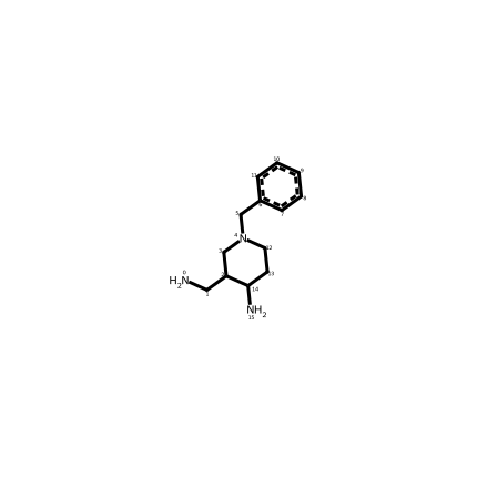 NCC1CN(Cc2ccccc2)CCC1N